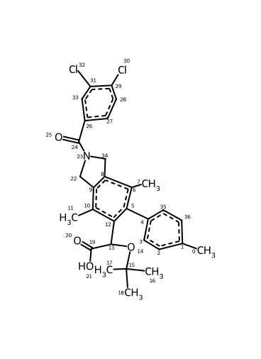 Cc1ccc(-c2c(C)c3c(c(C)c2C(OC(C)(C)C)C(=O)O)CN(C(=O)c2ccc(Cl)c(Cl)c2)C3)cc1